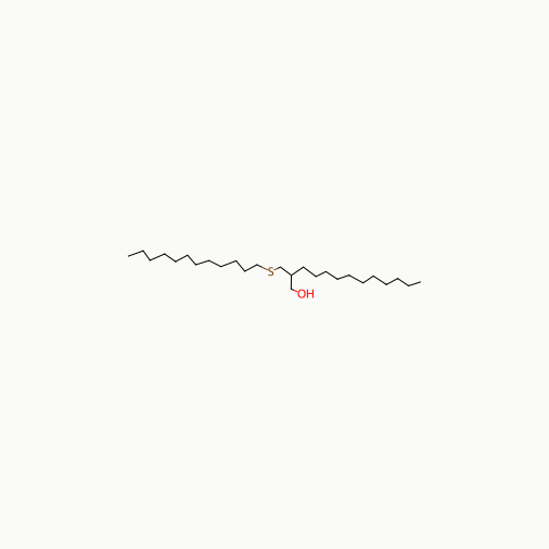 CCCCCCCCCCCCSCC(CO)CCCCCCCCCCC